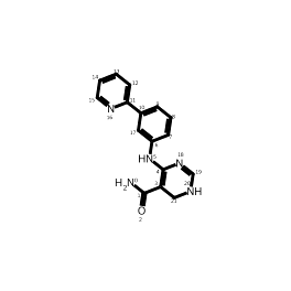 NC(=O)C1=C(Nc2cccc(-c3ccccn3)c2)N=CNC1